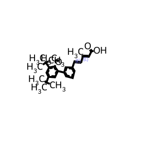 COc1c(-c2cccc(/C=C/C(C)=C/C(=O)O)c2)cc(C(C)(C)C)cc1C(C)(C)C